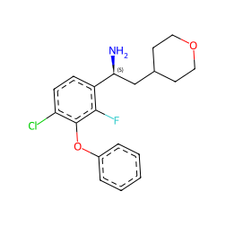 N[C@@H](CC1CCOCC1)c1ccc(Cl)c(Oc2ccccc2)c1F